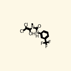 CN(C(=O)Nc1cccc(C(F)(F)F)c1)C(O)=C(Cl)Cl